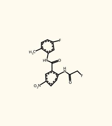 Cc1ccc(F)cc1NC(=O)c1cc([N+](=O)[O-])ccc1NC(=O)CF